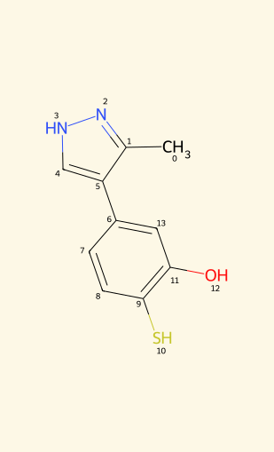 Cc1n[nH]cc1-c1ccc(S)c(O)c1